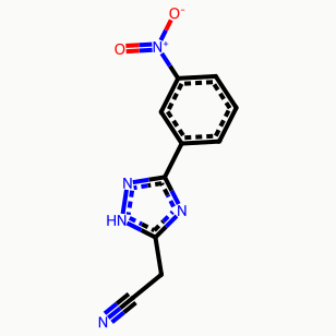 N#CCc1nc(-c2cccc([N+](=O)[O-])c2)n[nH]1